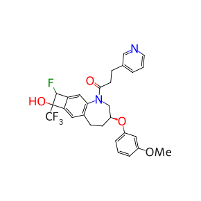 COc1cccc(O[C@H]2CCc3cc4c(cc3N(C(=O)CCc3cccnc3)C2)C(F)C4(O)C(F)(F)F)c1